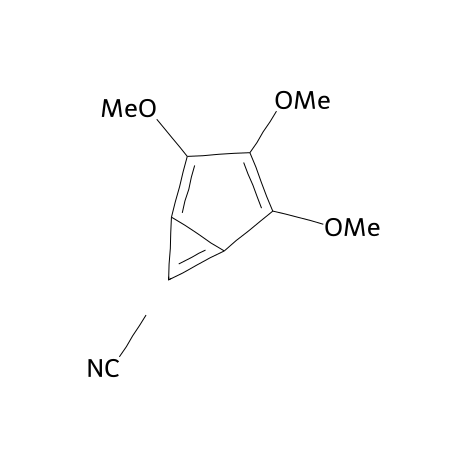 CC#N.COc1c2cc-2c(OC)c1OC